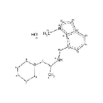 CC(CC1CCCCC1)NCc1cccc2ccn(C)c12.Cl